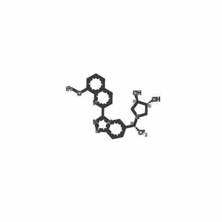 CC(C)Oc1cccc2ccc(-c3nnc4ccc([C@H](N5C[C@@H](O)[C@H](O)C5)C(F)(F)F)cn34)nc12